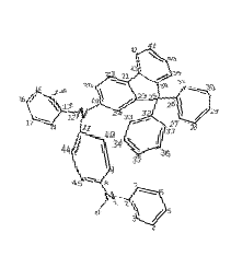 CN(c1ccccc1)c1ccc(N(c2ccccc2)c2ccc3c(c2)C(c2ccccc2)(c2ccccc2)c2ccccc2-3)cc1